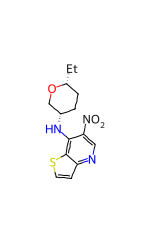 CC[C@@H]1CC[C@H](Nc2c([N+](=O)[O-])cnc3ccsc23)CO1